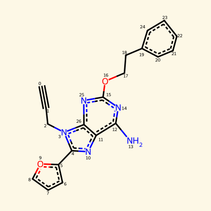 C#CCn1c(-c2ccco2)nc2c(N)nc(OCCc3ccccc3)nc21